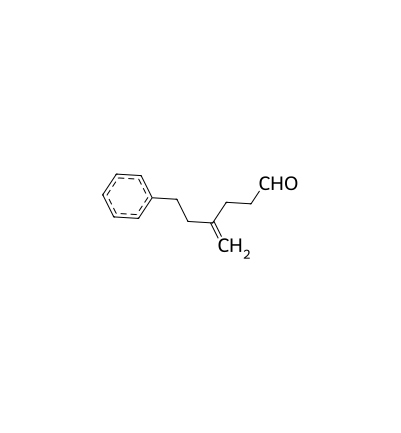 C=C(CCC=O)CCc1ccccc1